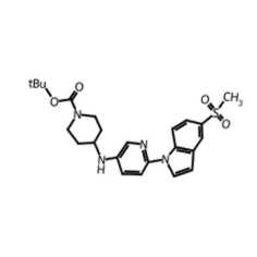 CC(C)(C)OC(=O)N1CCC(Nc2ccc(-n3ccc4cc(S(C)(=O)=O)ccc43)nc2)CC1